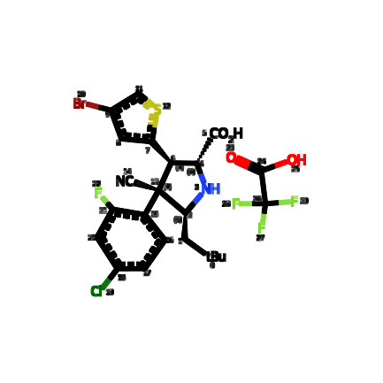 CC(C)(C)C[C@@H]1N[C@@H](C(=O)O)[C@H](c2cc(Br)cs2)[C@@]1(C#N)c1ccc(Cl)cc1F.O=C(O)C(F)(F)F